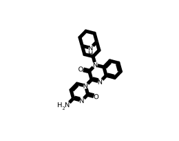 Nc1ccn(-c2nc3ccccc3n(C3CC4CCCC(C3)N4)c2=O)c(=O)n1